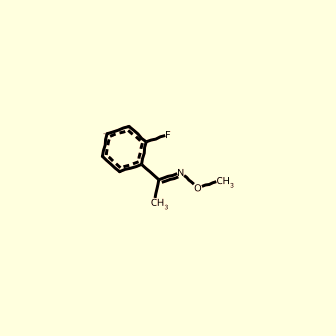 CON=C(C)c1cc[c]cc1F